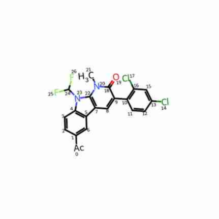 CC(=O)c1ccc2c(c1)c1cc(-c3ccc(Cl)cc3Cl)c(=O)n(C)c1n2C(F)F